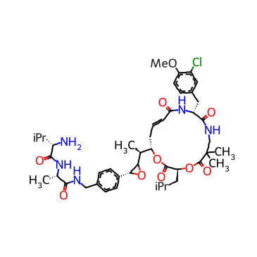 COc1ccc(C[C@H]2NC(=O)/C=C/C[C@@H]([C@H](C)C3O[C@@H]3c3ccc(CNC(=O)[C@H](C)NC(=O)[C@@H](N)C(C)C)cc3)OC(=O)[C@H](CC(C)C)OC(=O)C(C)(C)CNC2=O)cc1Cl